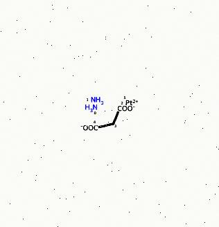 N.N.O=C([O-])CC(=O)[O-].[Pt+2]